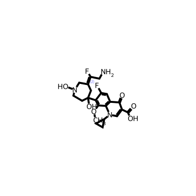 COc1c(C2(O)CCN(O)C/C(=C(\F)CN)C2)c(F)cc2c(=O)c(C(=O)O)cn(C3CC3)c12